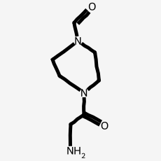 NCC(=O)N1CCN(C=O)CC1